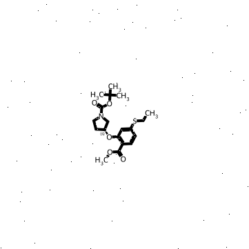 CCSc1ccc(C(=O)OC)c(O[C@H]2CCN(C(=O)OC(C)(C)C)C2)c1